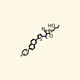 CCC(O)CNC(=O)/C(C#N)=C(\C)c1ccc(-c2ccc3cc(N4CCN(C)CC4)ccc3c2)s1